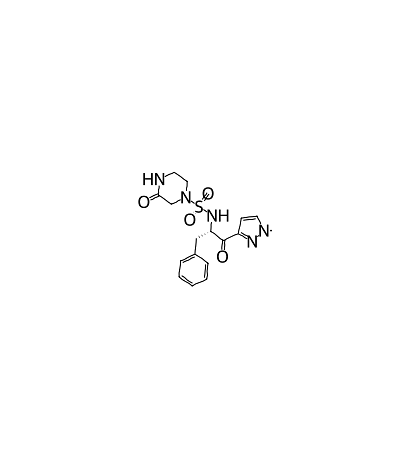 O=C1CN(S(=O)(=O)N[C@@H](Cc2ccccc2)C(=O)C2=N[N]C=C2)CCN1